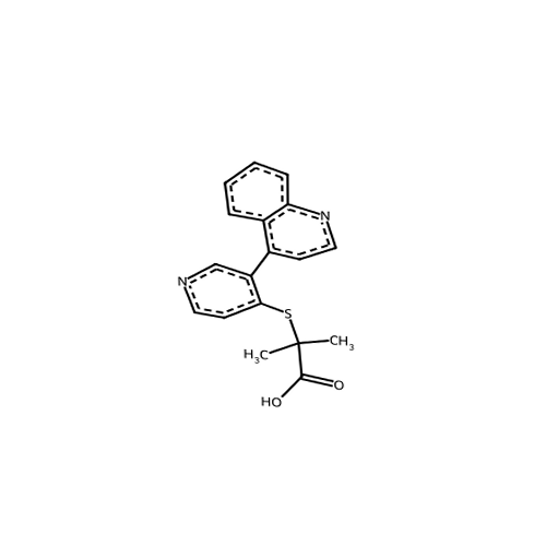 CC(C)(Sc1ccncc1-c1ccnc2ccccc12)C(=O)O